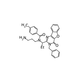 CCC(c1nc2c(oc3ccccc32)c(=O)n1Cc1ccccc1)N(CCCN)C(=O)c1ccc(C)cc1